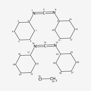 C(=NC1CCCCC1)=NC1CCCCC1.C(=NC1CCCCC1)=NC1CCCCC1.CCl